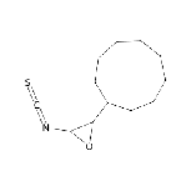 S=C=NC1OC1C1CCCCCCCC1